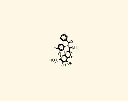 CC(C(=O)OC1OC(C(=O)O)C(O)C(O)C1O)N(C(=O)c1ccccc1)c1ccc(F)c(Cl)c1